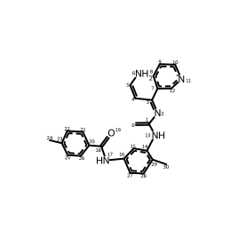 C=C(/N=C(\C=C/N)c1cccnc1)Nc1cc(NC(=O)c2ccc(C)cc2)ccc1C